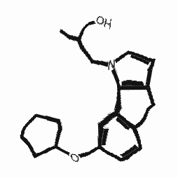 CC(O)Cn1ccc2c1-c1cc(OC3CCCC3)ccc1C2